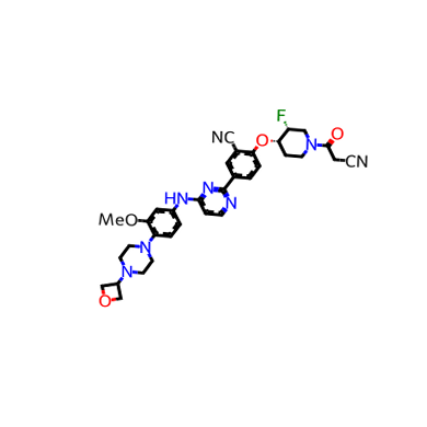 COc1cc(Nc2ccnc(-c3ccc(O[C@H]4CCN(C(=O)CC#N)C[C@H]4F)c(C#N)c3)n2)ccc1N1CCN(C2COC2)CC1